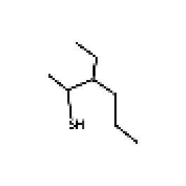 CCCC(CC)C(C)S